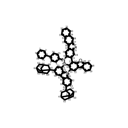 c1ccc(-c2ccc(N3B4c5c(cc6c(oc7ccccc76)c5-c5cc6sc7cc8ccccc8cc7c6cc53)-n3c5ccc(C67CC8CC(CC(C8)C6)C7)cc5c5cc(C67CC8CC(CC(C8)C6)C7)cc4c53)cc2)cc1